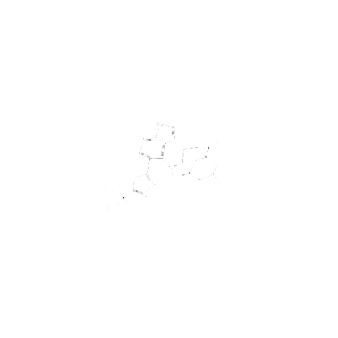 CC1C[C@H]2C[C@](O)(CC[C@@H]2Nc2c(-c3nnc(C(C)(C)O)o3)cnc3[nH]ccc23)C1